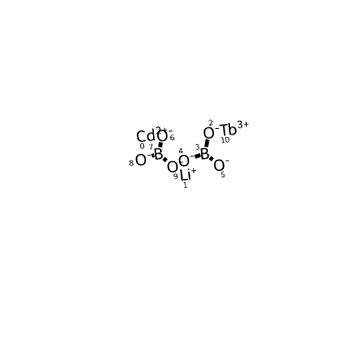 [Cd+2].[Li+].[O-]B([O-])[O-].[O-]B([O-])[O-].[Tb+3]